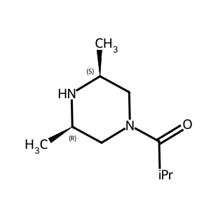 CC(C)C(=O)N1C[C@@H](C)N[C@@H](C)C1